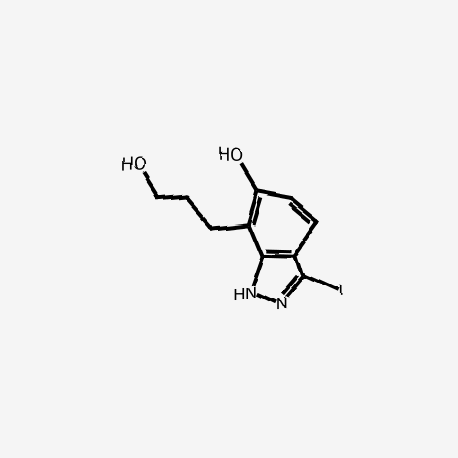 OCCCc1c(O)ccc2c(I)n[nH]c12